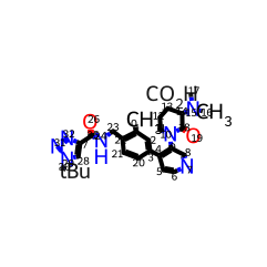 Cc1cc(-c2ccncc2N2CCCC(N(C)C(=O)O)C2=O)ccc1CNC(=O)c1cn(C(C)(C)C)nn1